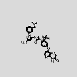 CN(C)Cc1cccc(-n2nc(C(C)(C)C)cc2NC(=O)Nc2ccc(Oc3ccnc4c3OCC(=O)N4)cc2C(C)(I)I)c1